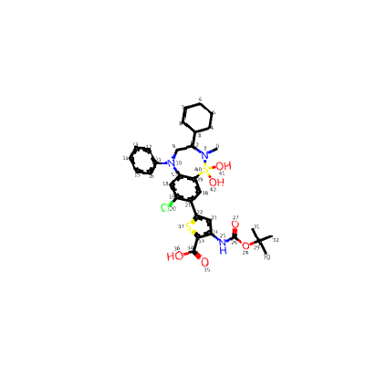 CN1C(C2CCCCC2)CN(c2ccccc2)c2cc(Cl)c(-c3cc(NC(=O)OC(C)(C)C)c(C(=O)O)s3)cc2S1(O)O